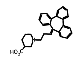 O=C(O)C1CCCN(CCC=C2c3ccccc3-c3ccccc3-c3ccccc32)C1